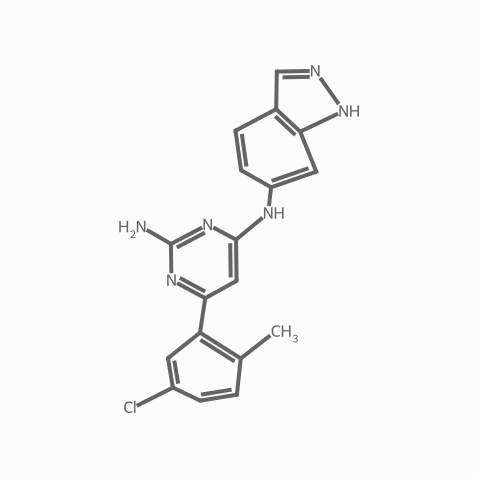 Cc1ccc(Cl)cc1-c1cc(Nc2ccc3cn[nH]c3c2)nc(N)n1